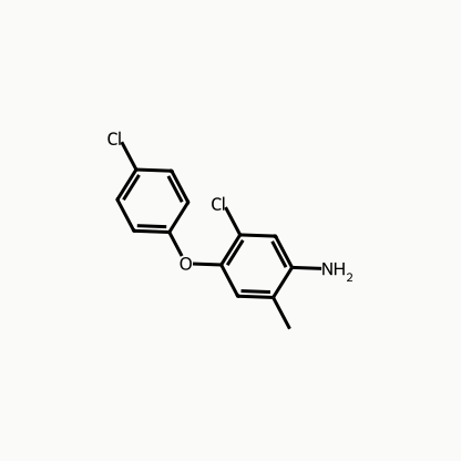 Cc1cc(Oc2ccc(Cl)cc2)c(Cl)cc1N